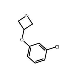 Clc1cccc(OC2C[N]C2)c1